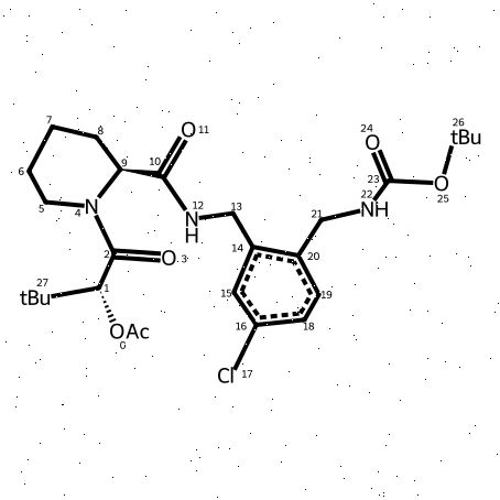 CC(=O)O[C@@H](C(=O)N1CCCC[C@H]1C(=O)NCc1cc(Cl)ccc1CNC(=O)OC(C)(C)C)C(C)(C)C